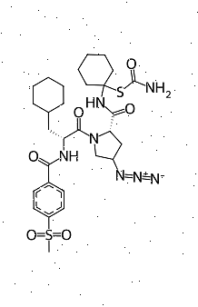 CS(=O)(=O)c1ccc(C(=O)N[C@H](CC2CCCCC2)C(=O)N2CC(N=[N+]=[N-])C[C@H]2C(=O)NC2(SC(N)=O)CCCCC2)cc1